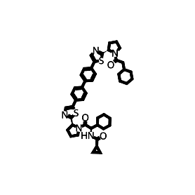 O=C(N[C@@H](C(=O)N1CCC[C@H]1c1ncc(-c2ccc(-c3ccc(-c4cnc([C@@H]5CCCN5C(=O)CC5CCCCC5)s4)cc3)cc2)s1)C1CCCCC1)C1CC1